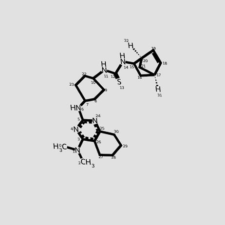 CN(C)c1nc(NC2CCC(NC(=S)NC3C[C@@H]4C=C[C@H]3C4)CC2)nc2c1CCCC2